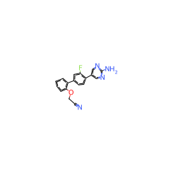 N#CCOc1ccccc1-c1ccc(-c2cnc(N)nc2)c(F)c1